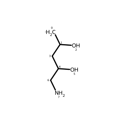 [CH2]C(O)CC(O)CN